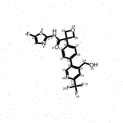 O=C(Nc1ncc(F)s1)C1(c2ccc(-c3cnc(C(F)(F)F)cc3CO)cc2)COC1